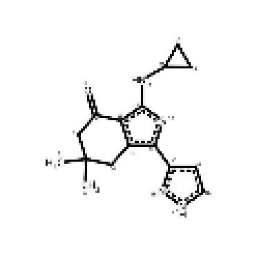 CC1(C)CC(=O)c2c(NC3CC3)sc(-c3cc[nH]n3)c2C1